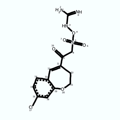 N=C(N)NOS(=O)(=O)CC(=O)C1=Cc2ccc(Cl)cc2OCC1